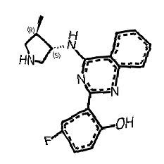 C[C@@H]1CNC[C@H]1Nc1nc(-c2cc(F)ccc2O)nc2ccccc12